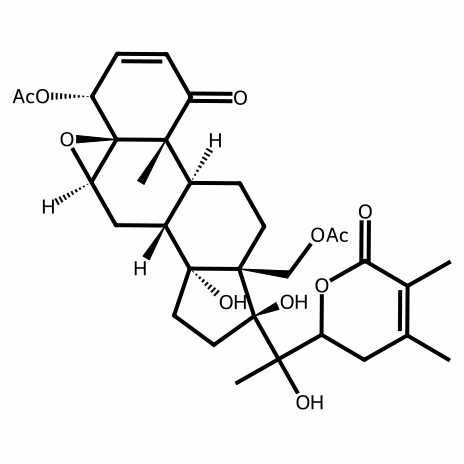 CC(=O)OC[C@]12CC[C@H]3[C@@H](C[C@H]4O[C@]45[C@H](OC(C)=O)C=CC(=O)[C@]35C)[C@]1(O)CC[C@@]2(O)C(C)(O)C1CC(C)=C(C)C(=O)O1